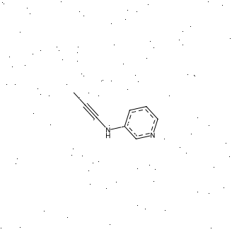 CC#CNc1cccnc1